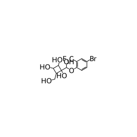 OCC1C(O)C(O)C1(O)C(O)Oc1ccc(Br)cc1C(F)(F)F